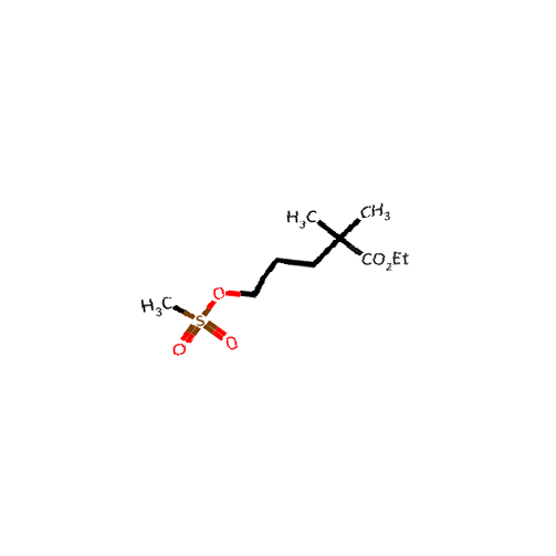 CCOC(=O)C(C)(C)CCCOS(C)(=O)=O